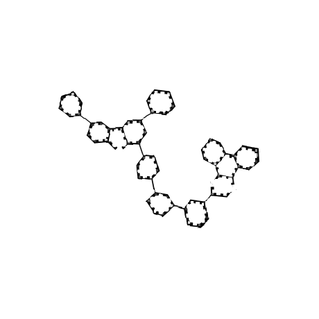 c1ccc(-c2ccc3oc4c(-c5ccc(-c6cccc(-c7cccc(-c8cnc9c%10ccccc%10c%10ccccc%10c9n8)c7)c6)cc5)cc(-c5ccccc5)cc4c3c2)cc1